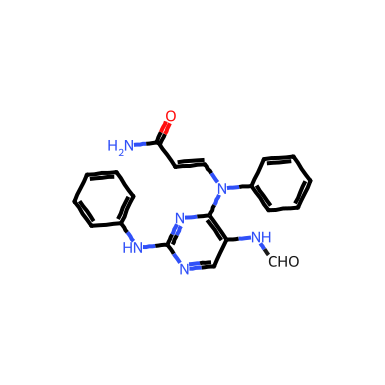 NC(=O)C=CN(c1ccccc1)c1nc(Nc2ccccc2)ncc1NC=O